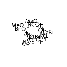 COc1cc(F)c(-c2ccc(N(CC3(c4ncccc4F)CC(F)C3)C(=O)OC(C)(C)C)nn2)cc1Br.COc1cc(F)c(-c2ccc(N(CC3(c4ncccc4F)CC(F)C3)C(=O)OC(C)(C)C)nn2)cc1C#N